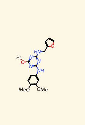 CCOc1nc(NCc2ccco2)nc(Nc2ccc(OC)c(OC)c2)n1